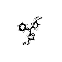 CC(C)(C)C1COC(N(C2=NC(C(C)(C)C)CO2)c2ccccc2)=N1